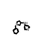 c1ccc(CN2CCC(Nc3ccncc3)C2)cc1